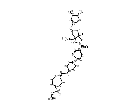 C=CC12C[C@H](Oc3ccc(C#N)c(Cl)c3)C[C@@H]1CN(C(=O)c1cnc(N3CCC(C/C=C4/CCCN(C(=O)OC(C)(C)C)CC4)CC3)cn1)C2